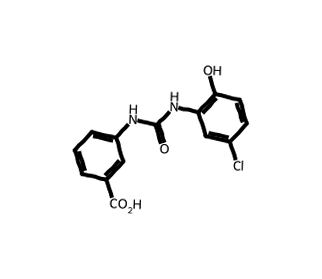 O=C(Nc1cccc(C(=O)O)c1)Nc1cc(Cl)ccc1O